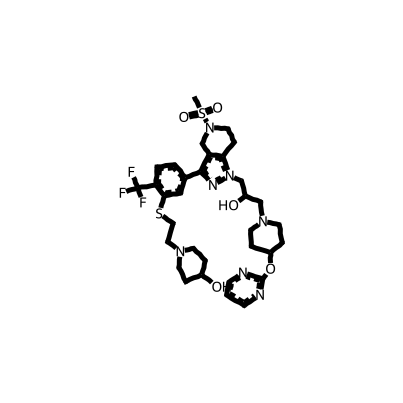 CS(=O)(=O)N1CCc2c(c(-c3ccc(C(F)(F)F)c(SCCN4CCC(O)CC4)c3)nn2CC(O)CN2CCC(Oc3ncccn3)CC2)C1